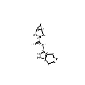 O=C(Oc1n[nH]c2ccncc12)N1CC2CC2C1